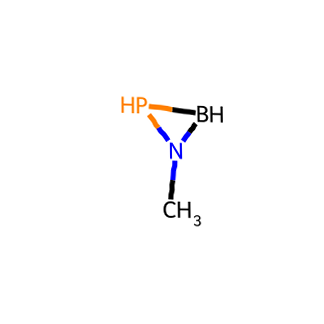 CN1BP1